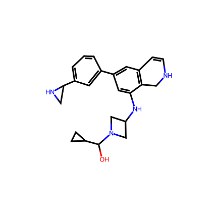 OC(C1CC1)N1CC(Nc2cc(-c3cccc(C4CN4)c3)cc3c2CNC=C3)C1